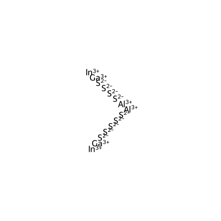 [Al+3].[Al+3].[Ga+3].[Ga+3].[In+3].[In+3].[S-2].[S-2].[S-2].[S-2].[S-2].[S-2].[S-2].[S-2].[S-2]